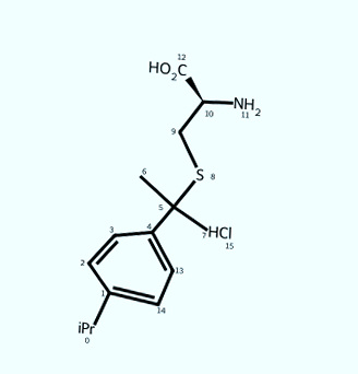 CC(C)c1ccc(C(C)(C)SC[C@H](N)C(=O)O)cc1.Cl